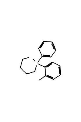 Cc1ccccc1[Si]1(c2ccccc2)CCCCO1